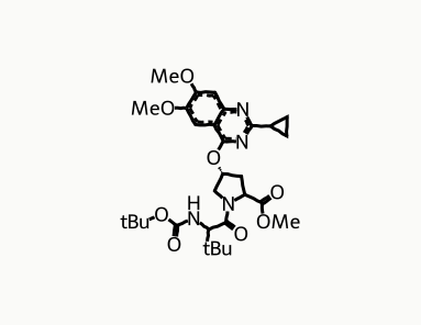 COC(=O)C1C[C@@H](Oc2nc(C3CC3)nc3cc(OC)c(OC)cc23)CN1C(=O)C(NC(=O)OC(C)(C)C)C(C)(C)C